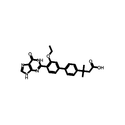 CCOc1cc(-c2ccc(C(C)(C)CC(=O)O)cc2)ccc1-c1nc2[nH]cnc2c(=O)[nH]1